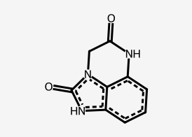 O=C1Cn2c(=O)[nH]c3cccc(c32)N1